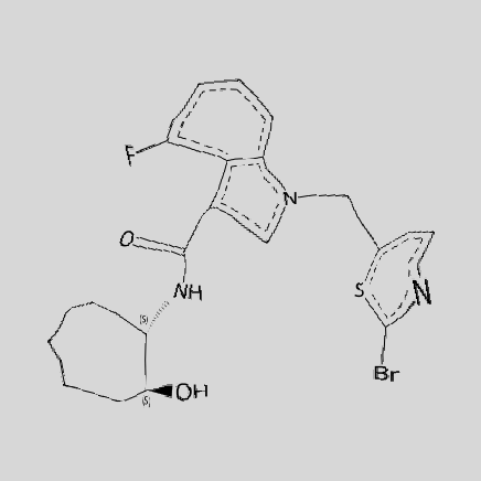 O=C(N[C@H]1CCCC[C@@H]1O)c1cn(Cc2cnc(Br)s2)c2cccc(F)c12